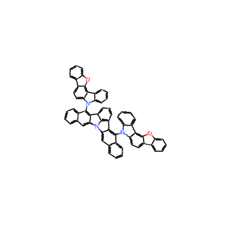 c1ccc2c(-n3c4ccccc4c4c5oc6ccccc6c5ccc43)c3c4cccc5c6c(-n7c8ccccc8c8c9oc%10ccccc%10c9ccc87)c7ccccc7cc6n(c3cc2c1)c45